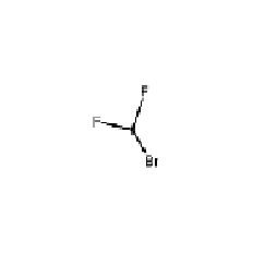 F[C](F)Br